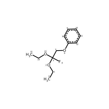 CCOC(F)(COc1[c]cccc1)OCC